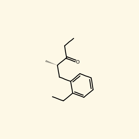 CCC(=O)[C@@H](C)Cc1ccccc1CC